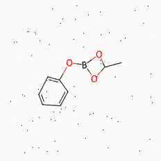 CC1OB(Oc2ccccc2)O1